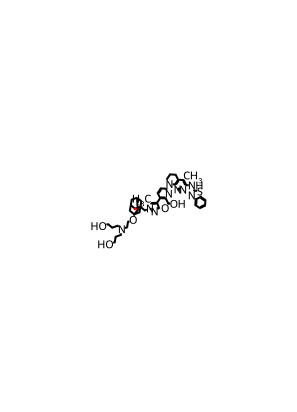 Cc1c(Nc2nc3ccccc3s2)nnc2c1CCCN2c1ccc(-c2cnn(CC34CC5CC(C3)CC(OCCN(CCCO)CCCO)(C5)C4)c2C)c(C(=O)O)n1